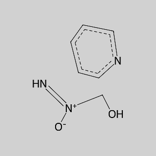 N=[N+]([O-])CO.c1ccncc1